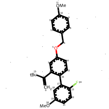 C=C(c1cc(OCc2ccc(OC)cc2)ccc1-c1cc(OC)ccc1F)C(C)(C)C